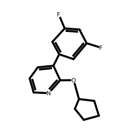 Fc1[c]c(F)cc(-c2cccnc2OC2CCCC2)c1